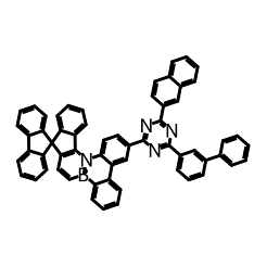 C1=CC2=C(c3ccccc3C23c2ccccc2-c2ccccc23)N2B1c1ccccc1-c1cc(-c3nc(-c4cccc(-c5ccccc5)c4)nc(-c4ccc5ccccc5c4)n3)ccc12